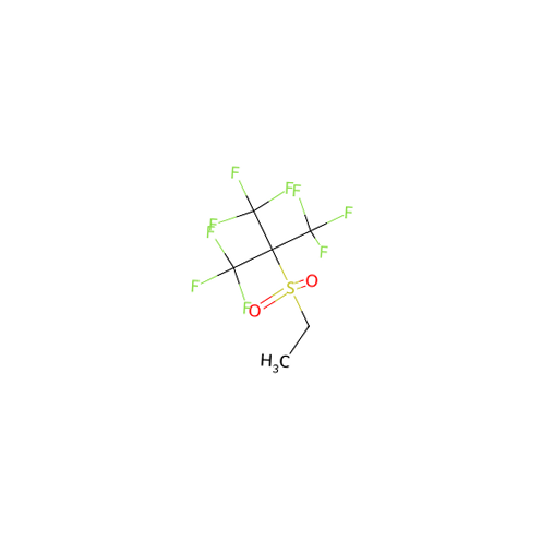 CCS(=O)(=O)C(C(F)(F)F)(C(F)(F)F)C(F)(F)F